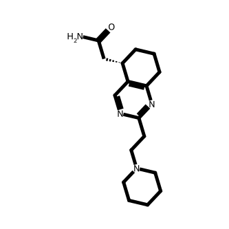 NC(=O)C[C@@H]1CCCc2nc(CCN3CCCCC3)ncc21